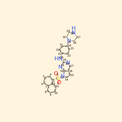 O=S(=O)(c1cccc2ccccc12)n1ccc2cnc(Nc3ccc(N4CCNCC4)cc3)nc21